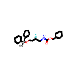 CC(C)(C)[Si](OCCC(F)CNC(=O)OCc1ccccc1)(c1ccccc1)c1ccccc1